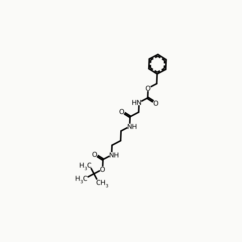 CC(C)(C)OC(=O)NCCCNC(=O)CNC(=O)OCc1ccccc1